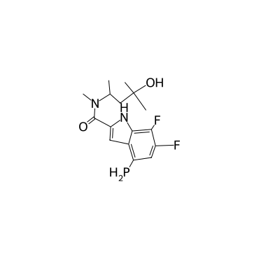 CC(CC(C)(C)O)N(C)C(=O)c1cc2c(P)cc(F)c(F)c2[nH]1